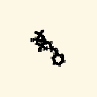 CC1(C)C2C[C@@H]1C[C@H](N)C2CCOC1CCCCO1